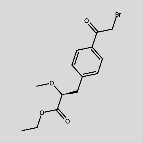 CCOC(=O)[C@H](Cc1ccc(C(=O)CBr)cc1)OC